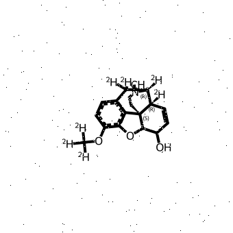 [2H]C([2H])([2H])Oc1ccc2c3c1OC1C(O)C=C[C@]4([2H])[C@@]31CCN(C)[C@]4([2H])C2([2H])[2H]